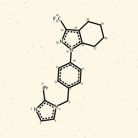 CC(C)c1nccn1Cc1ccc(-n2nc(C(F)(F)F)c3c2CCCC3)cc1